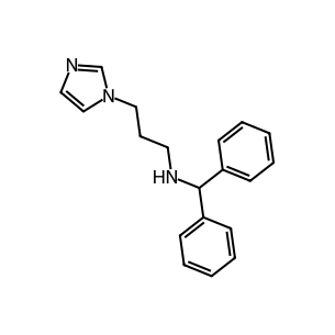 c1ccc(C(NCCCn2ccnc2)c2ccccc2)cc1